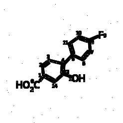 O=C(O)c1ccc(-c2ccc(F)cc2)c(O)c1